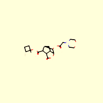 CC1(OC(=O)C2C3CC4C(OC(=O)C42)C3OC(=O)CN2CCOCC2)CCC1